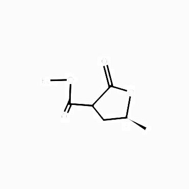 CCOC(=O)C1C[C@H](C)OC1=O